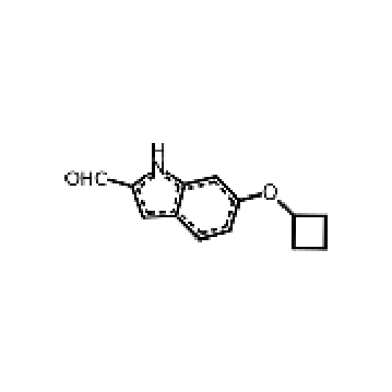 O=Cc1cc2ccc(OC3CCC3)cc2[nH]1